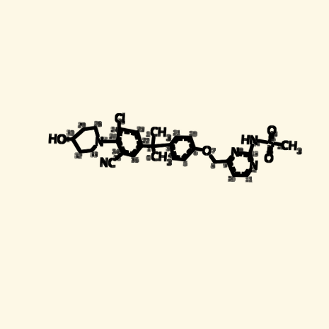 CC(C)(c1ccc(OCc2ccnc(NS(C)(=O)=O)n2)cc1)c1cc(Cl)c(N2CCC(O)CC2)c(C#N)c1